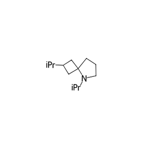 CC(C)C1CC2(CCCN2C(C)C)C1